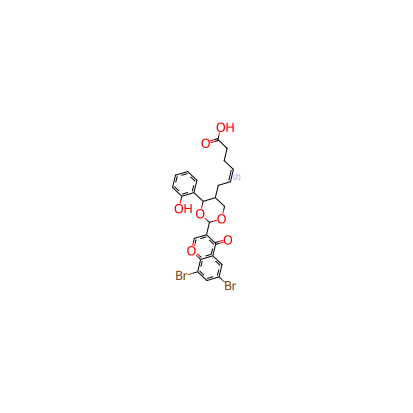 O=C(O)CC/C=C\CC1COC(c2coc3c(Br)cc(Br)cc3c2=O)OC1c1ccccc1O